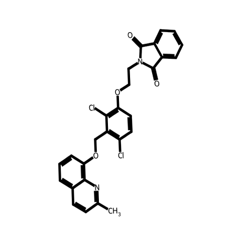 Cc1ccc2cccc(OCc3c(Cl)ccc(OCCN4C(=O)c5ccccc5C4=O)c3Cl)c2n1